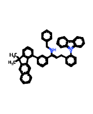 CC1(C)c2cc3ccccc3cc2-c2c(-c3cccc(/C(=C/Cc4ccccc4-n4c5ccccc5c5ccccc54)NCc4ccccc4)c3)cccc21